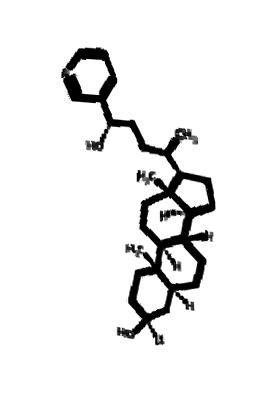 CC[C@]1(O)CC[C@@]2(C)[C@@H](CC[C@@H]3[C@@H]2CC[C@]2(C)[C@@H](C(C)CC[C@H](O)c4cccnc4)CC[C@@H]32)C1